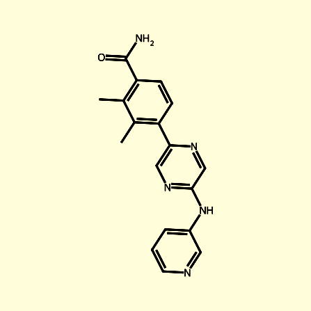 Cc1c(C(N)=O)ccc(-c2cnc(Nc3cccnc3)cn2)c1C